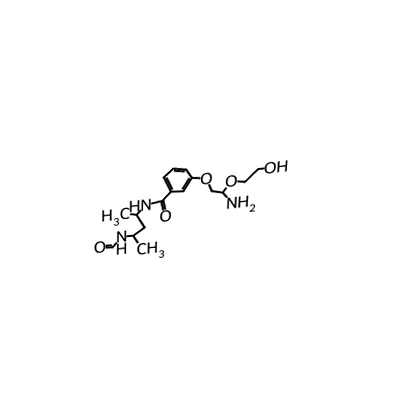 CC(CC(C)NC(=O)c1cccc(OCC(N)OCCO)c1)NC=O